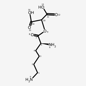 NCCCC[C@H](N)C(=O)OC(C(=O)O)C(=O)O